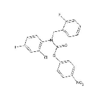 O=C(Oc1ccc([N+](=O)[O-])cc1)N(Cc1ccccc1F)c1ccc(F)cc1Cl